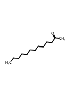 CCCCCCC/C=C/CCC(C)=O